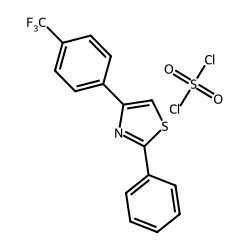 FC(F)(F)c1ccc(-c2csc(-c3ccccc3)n2)cc1.O=S(=O)(Cl)Cl